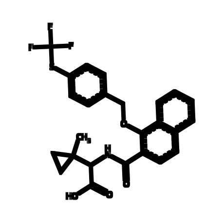 CC1(C(NC(=O)c2ccc3ccccc3c2OCc2ccc(SC(F)(F)F)cc2)C(=O)O)CC1